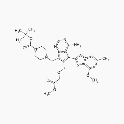 COC(=O)COCc1c(-c2cc3cc(C)cc(OC)c3s2)c2c(N)ncnn2c1CN1CCN(C(=O)OC(C)(C)C)CC1